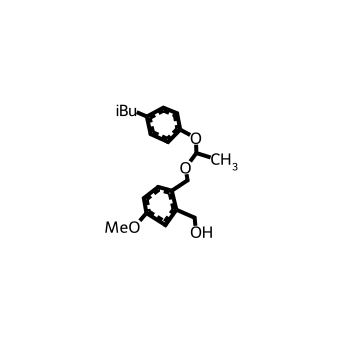 CCC(C)c1ccc(OC(C)OCc2ccc(OC)cc2CO)cc1